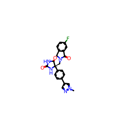 Cn1cc(-c2ccc([C@]3(CN4Cc5ccc(F)cc5C4=O)NC(=O)NC3=O)cc2)cn1